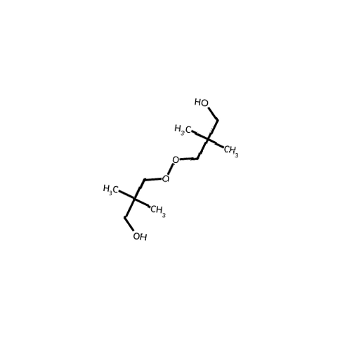 CC(C)(CO)COOCC(C)(C)CO